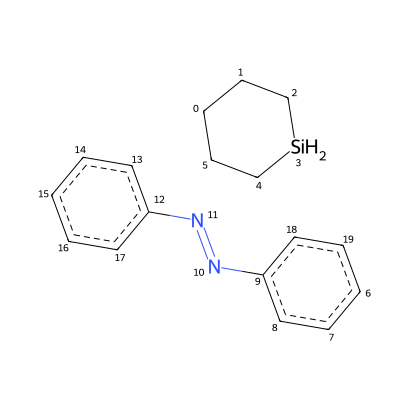 C1CC[SiH2]CC1.c1ccc(N=Nc2ccccc2)cc1